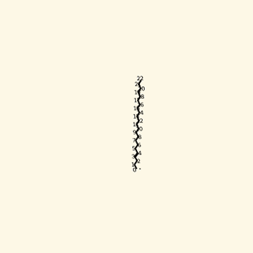 [CH2]CCC=CCCCCCCCCCCCCCCCCCC